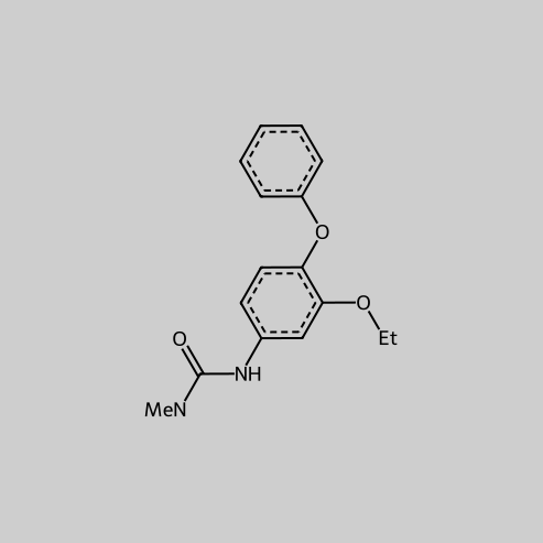 CCOc1cc(NC(=O)NC)ccc1Oc1ccccc1